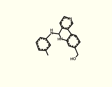 Cc1cccc(NC2Nc3cc(CO)ccc3-c3cnccc32)c1